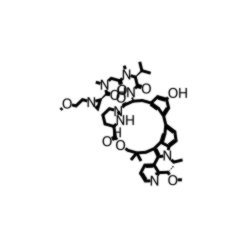 CCn1c(-c2cccnc2[C@H](C)OC)c2c3cc(ccc31)-c1cc(O)cc(c1)C[C@H](NC(=O)[C@H](C(C)C)N(C)C(=O)CN(C)C(=O)[C@H]1CN1CCOC)C(=O)N1CCC[C@H](N1)C(=O)OCC(C)(C)C2